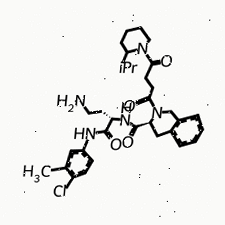 Cc1cc(NC(=O)[C@H](CCN)NC(=O)[C@@H]2Cc3ccccc3CN2C(=O)CCC(=O)N2CCCCC2C(C)C)ccc1Cl